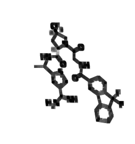 CC(NC(=O)[C@@H]1C[C@@H](C(F)(F)F)CN1C(=O)CNC(=O)c1ccc2c(c1)-c1ccccc1C2(F)F)c1cc(C(=N)N)cs1